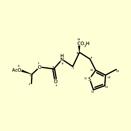 CC(=O)O[C@H](C)OC(=O)NC[C@H](Cc1sccc1C)C(=O)O